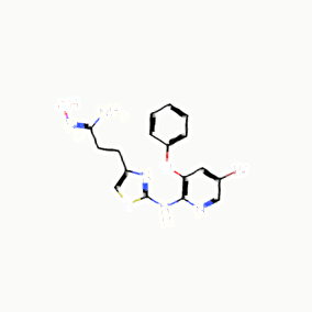 N/C(CCc1csc(Nc2ncc(Br)cc2Oc2ccccc2)n1)=N\O